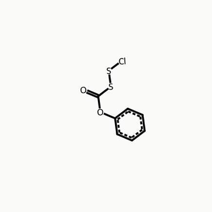 O=C(Oc1ccccc1)SSCl